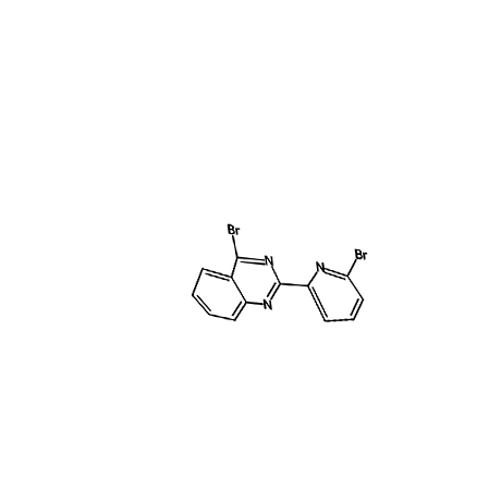 Brc1cccc(-c2nc(Br)c3ccccc3n2)n1